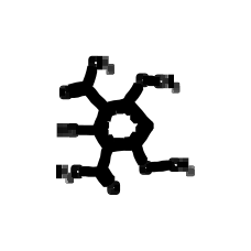 COc1cc(OC)c(C(C)=O)c(O)c1C(C)=O